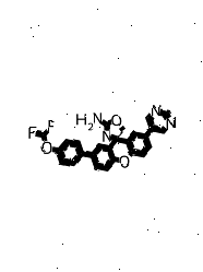 NC1=N[C@]2(CO1)c1cc(-c3ccc(OC(F)F)cc3)ccc1Oc1ccc(-c3cncnc3)cc12